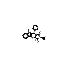 O=C1[C@H]2Cc3c([nH]c4ccccc34)[C@H](c3ccccc3)N2C(=O)N1C1CC1